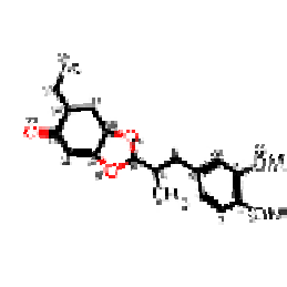 COc1ccc(CC(C)C2OC3=CC(=O)C(CC(C)=O)CC3O2)cc1OC